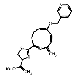 C=C1/C=C\C(OCc2cccnc2)=C/CS/C(C2=N[C@@H](C(=C)OC)CS2)=N\1